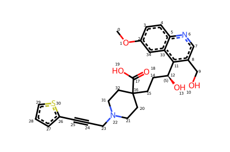 COc1ccc2ncc(CO)c([C@@H](O)CCC3(C(=O)O)CCN(CC#Cc4cccs4)CC3)c2c1